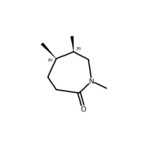 C[C@@H]1CCC(=O)N(C)C[C@@H]1C